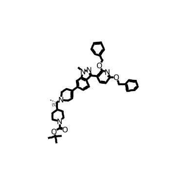 C[C@@H](C1CCN(C(=O)OC(C)(C)C)CC1)N1CC=C(c2ccc3c(-c4ccc(OCc5ccccc5)nc4OCc4ccccc4)nn(C)c3c2)CC1